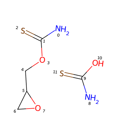 NC(=S)OCC1CO1.NC(O)=S